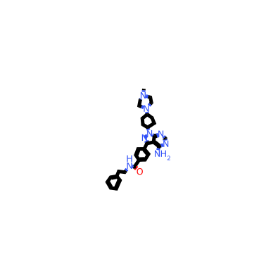 CN1CCN(C2CCC(n3nc(-c4ccc(C(=O)NCCc5ccccc5)cc4)c4c(N)ncnc43)CC2)CC1